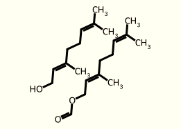 CC(C)=CCC/C(C)=C/CO.CC(C)=CCC/C(C)=C/COC=O